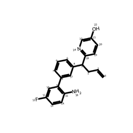 C=CCC(c1cccc(-c2cc(F)ccc2N)c1)c1ccc(O)cn1